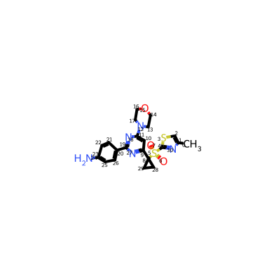 Cc1csc(S(=O)(=O)C2(c3cc(N4CCOCC4)nc(-c4ccc(N)cc4)n3)CC2)n1